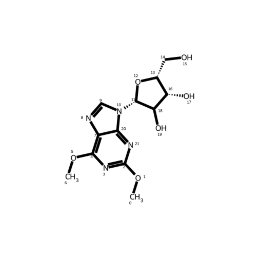 COc1nc(OC)c2ncn([C@@H]3O[C@H](CO)[C@H](O)C3O)c2n1